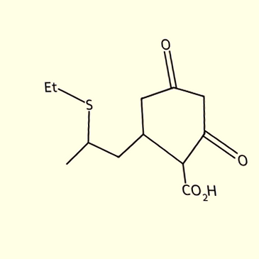 CCSC(C)CC1CC(=O)CC(=O)C1C(=O)O